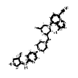 CC1CN(c2ccc(C#N)n3ncc(F)c23)CC(CN2CCN(c3ccc(NC4CNCC4F)nc3)CC2)O1